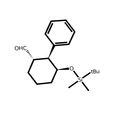 CC(C)(C)[Si](C)(C)O[C@H]1CCC[C@H](C=O)[C@H]1c1ccccc1